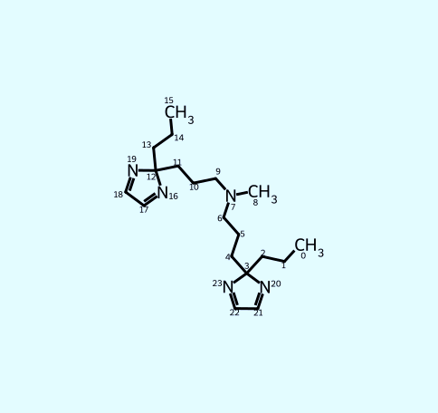 CCCC1(CCCN(C)CCCC2(CCC)N=CC=N2)N=CC=N1